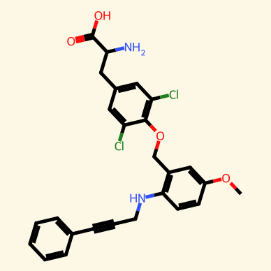 COc1ccc(NCC#Cc2ccccc2)c(COc2c(Cl)cc(CC(N)C(=O)O)cc2Cl)c1